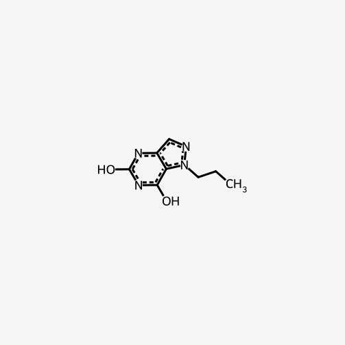 CCCn1ncc2nc(O)nc(O)c21